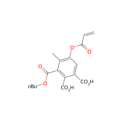 C=CC(=O)Oc1cc(C(=O)O)c(C(=O)O)c(C(=O)OCCCC)c1C